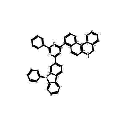 c1ccc(-c2nc(-c3ccc4c5ccccc5n(-c5ccccc5)c4c3)nc(-c3cccc4c5c(ccc34)NCc3ccccc3-5)n2)cc1